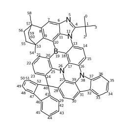 CC(C)(C)c1nc2cc3c(c4c2n1-c1ccc2c5c1B4c1cccc4c1N5c1c(ccc5c6ccccc6n-2c15)C41c2ccccc2-c2ccccc21)C1(C)CCC3(C)CC1